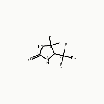 CC1(C)NC(=O)NC1C(F)(F)F